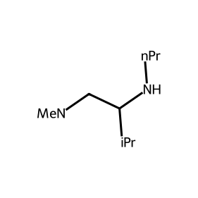 CCCNC(CNC)C(C)C